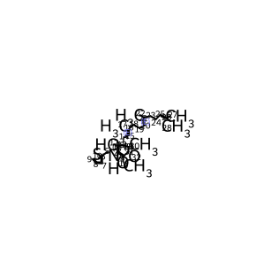 COC1=C(NCc2cccs2)[C@@H](O)[C@@H](C/C=C(\C)CC/C=C(\C)CCC=C(C)C)[C@H](C)C1=O